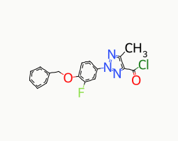 Cc1nn(-c2ccc(OCc3ccccc3)c(F)c2)nc1C(=O)Cl